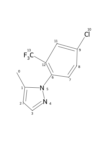 Cc1[c]cnn1-c1ccc(Cl)cc1C(F)(F)F